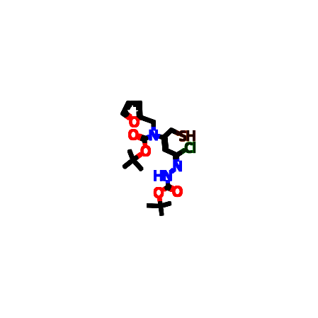 CC(C)(C)OC(=O)N/N=C(Cl)\C=C(/CS)N(Cc1ccco1)C(=O)OC(C)(C)C